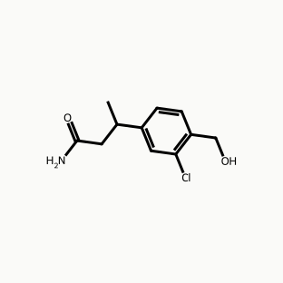 CC(CC(N)=O)c1ccc(CO)c(Cl)c1